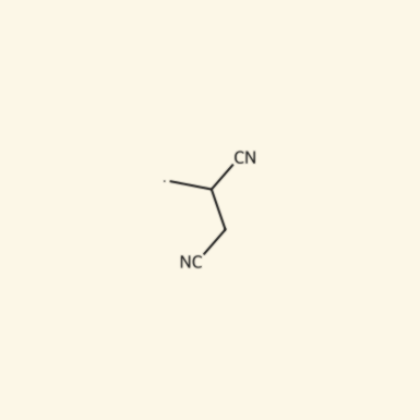 [CH2]C(C#N)CC#N